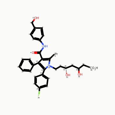 CC(C)c1c(C(=O)Nc2ccc(CO)cc2)c(-c2ccccc2)c(-c2ccc(F)cc2)n1CC[C@@H](O)CC(O)CC(=O)O